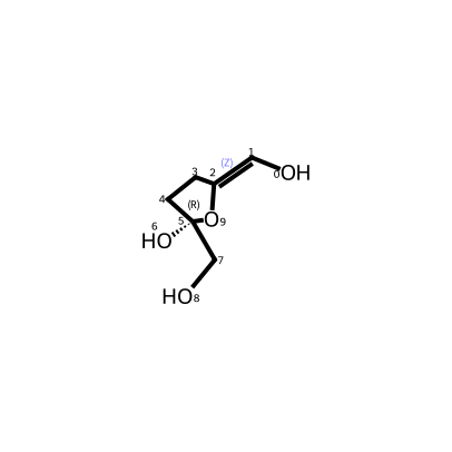 O/C=C1/CC[C@](O)(CO)O1